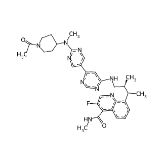 CNC(=O)c1c(F)cnc2c(C(C)[C@H](C)CNc3cc(-c4cnc(N(C)C5CCN(C(C)=O)CC5)nc4)ncn3)cccc12